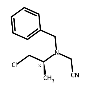 C[C@@H](CCl)N(CC#N)Cc1ccccc1